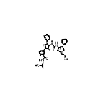 COCCN1C[C@@H](NC(=O)Nc2c(C)c(-c3ccnc(C(=O)NC[C@@H](C)O)c3)nn2-c2ccccc2)[C@H](c2ccccc2)C1